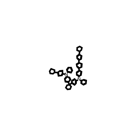 c1ccc(N(c2ccc(-c3ccc(-c4ccc(C5CCCCC5)cc4)cc3)cc2)c2ccc(C3(c4ccc(N(c5ccccc5)c5ccc(C6CCCCC6)cc5)cc4)CCCCC3)cc2)cc1